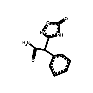 NC(=O)C(c1ccccc1)c1noc(=O)[nH]1